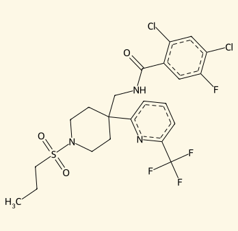 CCCS(=O)(=O)N1CCC(CNC(=O)c2cc(F)c(Cl)cc2Cl)(c2cccc(C(F)(F)F)n2)CC1